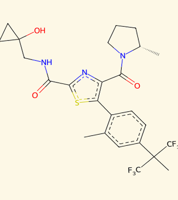 Cc1cc(C(C)(C(F)(F)F)C(F)(F)F)ccc1-c1sc(C(=O)NCC2(O)CC2)nc1C(=O)N1CCC[C@@H]1C